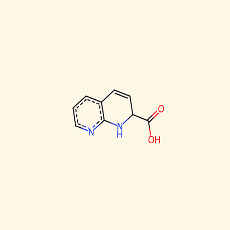 O=C(O)C1C=Cc2cccnc2N1